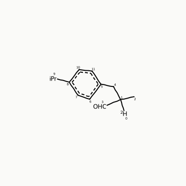 [2H]C(C)(C=O)Cc1ccc(C(C)C)cc1